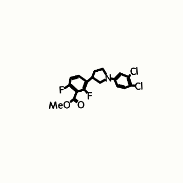 COC(=O)c1c(F)ccc(C2CCN(c3ccc(Cl)c(Cl)c3)C2)c1F